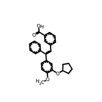 COc1ccc(C(=Cc2cccc(C(=O)O)c2)c2ccccc2)cc1OC1CCCC1